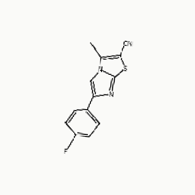 Cc1c(C#N)sc2nc(-c3ccc(F)cc3)cn12